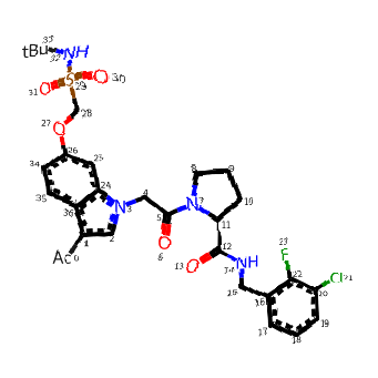 CC(=O)c1cn(CC(=O)N2CCC[C@H]2C(=O)NCc2cccc(Cl)c2F)c2cc(OCS(=O)(=O)NC(C)(C)C)ccc12